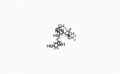 C=N/C=C(\C=C(/C)F)c1cc(NCCc2c[nH]c3ccc(O)cc23)n2ncc(C)c2n1